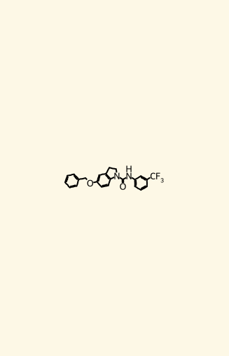 O=C(Nc1cccc(C(F)(F)F)c1)N1CCc2cc(OCc3ccccc3)ccc21